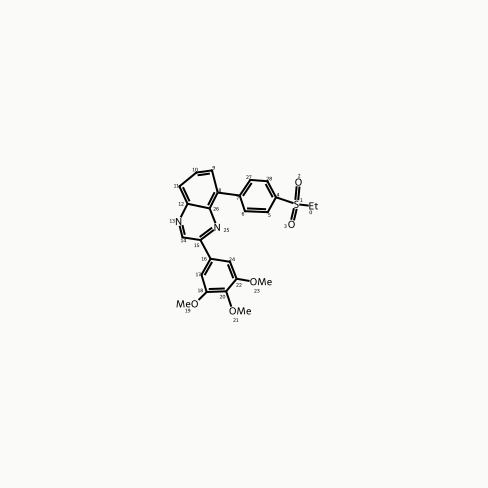 CCS(=O)(=O)c1ccc(-c2cccc3ncc(-c4cc(OC)c(OC)c(OC)c4)nc23)cc1